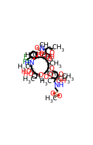 CC[C@H]1OC(=O)[C@H](C)[C@@H](O[C@H]2C[C@@](C)(OC)[C@](O)(CNCCS(C)(=O)=O)[C@H](C)O2)[C@H](C)[C@@H](O[C@@H]2O[C@H](C)C[C@H](N(C)S(=O)(=O)c3ccc(C(F)(F)F)cc3)[C@H]2O)[C@](C)(O)C[C@@H](C)CN[C@H](C)[C@@H](O)[C@]1(C)O